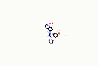 COC(=O)N1c2ccc3c(nc([C@@H](C)CN4CCCCC4=O)n3[C@@H]3CCC[C@H](C(=O)O)C3)c2CC[C@@H]1C